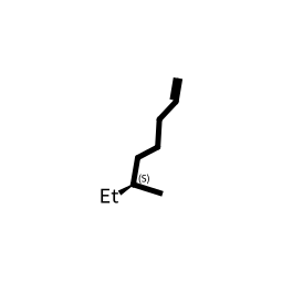 C=CCCC[C@@H](C)CC